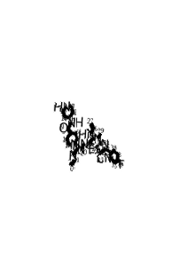 C=C/N=C(/N1CCC(C(=O)NC2CCNCC2)CC1)N(C)N/C(CC)=C(\NC=C)N(C)c1nc(-c2ccc(F)cc2)c(C#N)s1